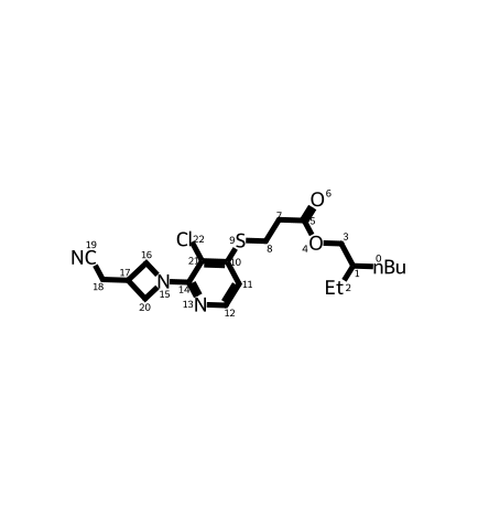 CCCCC(CC)COC(=O)CCSc1ccnc(N2CC(CC#N)C2)c1Cl